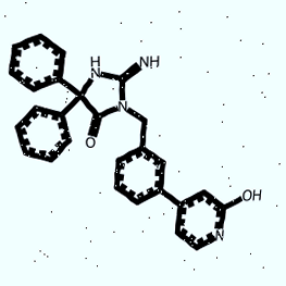 N=C1NC(c2ccccc2)(c2ccccc2)C(=O)N1Cc1cccc(-c2ccnc(O)c2)c1